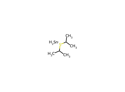 CC(C)SC(C)C.[SnH2]